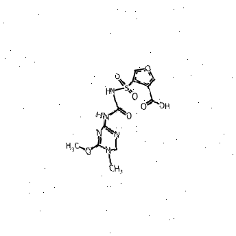 COC1=NC(NC(=O)NS(=O)(=O)c2cocc2C(=O)O)=NCN1C